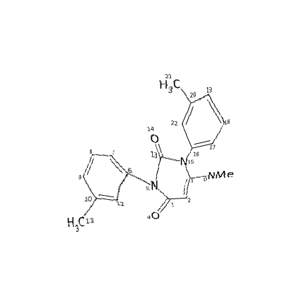 CNc1cc(=O)n(-c2cccc(C)c2)c(=O)n1-c1cccc(C)c1